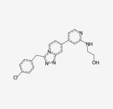 OCCNc1cc(-c2ccn3c(Cc4ccc(Cl)cc4)nnc3c2)ccn1